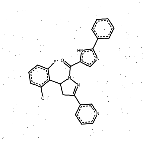 O=C(c1cnc(-c2ccccc2)[nH]1)N1N=C(c2cccnc2)CC1c1c(O)cccc1F